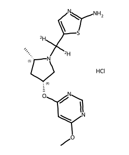 Cl.[2H]C([2H])(c1cnc(N)s1)N1C[C@H](Oc2cc(OC)ncn2)C[C@@H]1C